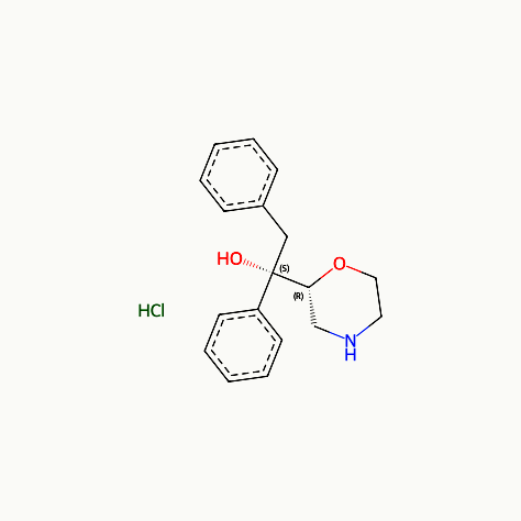 Cl.O[C@@](Cc1ccccc1)(c1ccccc1)[C@H]1CNCCO1